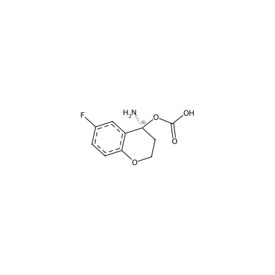 N[C@]1(OC(=O)O)CCOc2ccc(F)cc21